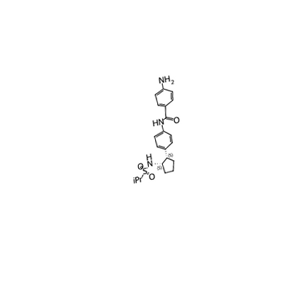 CC(C)S(=O)(=O)N[C@H]1CCC[C@H]1c1ccc(NC(=O)c2ccc(N)cc2)cc1